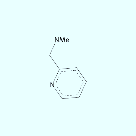 [CH2]NCc1ccccn1